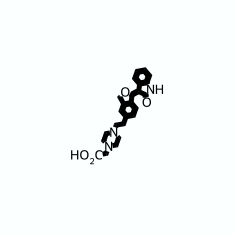 O=C(O)CN1CCN(CCc2ccc3c(c2)COC3=C2C(=O)Nc3ccccc32)CC1